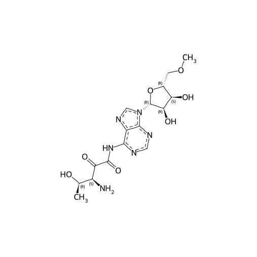 COC[C@H]1O[C@@H](n2cnc3c(NC(=O)C(=O)[C@@H](N)[C@@H](C)O)ncnc32)[C@H](O)[C@@H]1O